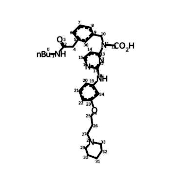 CCCCNC(=O)Cc1cccc(CN(C(=O)O)c2ccnc(Nc3cccc(OCCCN4CCCCC4)c3)n2)c1